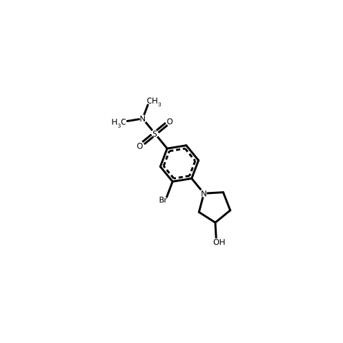 CN(C)S(=O)(=O)c1ccc(N2CCC(O)C2)c(Br)c1